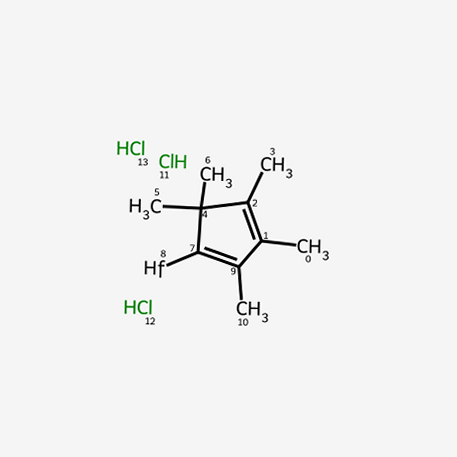 CC1=C(C)C(C)(C)[C]([Hf])=C1C.Cl.Cl.Cl